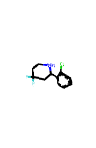 FC1(F)CCNC(c2ccccc2Cl)C1